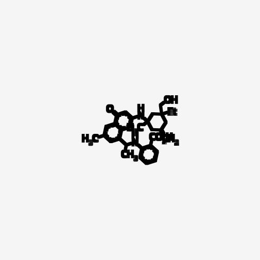 C=C1CC(CC)(CO)CC(C)(Nc2cc(=O)c3cc(C)cc(C(C)Nc4ccccc4C(=O)O)c3o2)C1